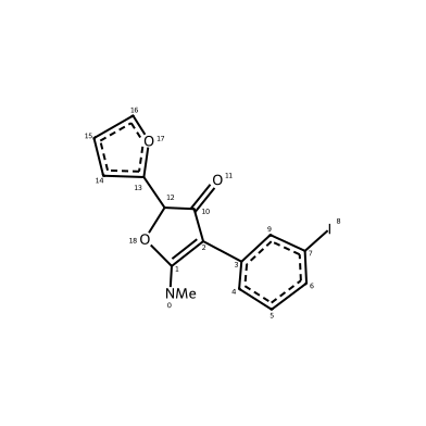 CNC1=C(c2cccc(I)c2)C(=O)C(c2ccco2)O1